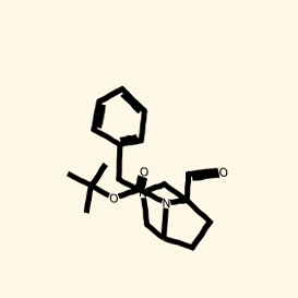 CC(C)(C)OC(=O)N1C2CCC1(C=O)CN(Cc1ccccc1)C2